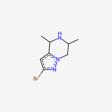 CC1Cn2nc(Br)cc2C(C)N1